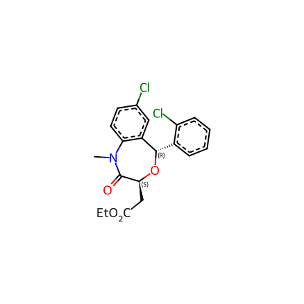 CCOC(=O)C[C@@H]1O[C@@H](c2ccccc2Cl)c2cc(Cl)ccc2N(C)C1=O